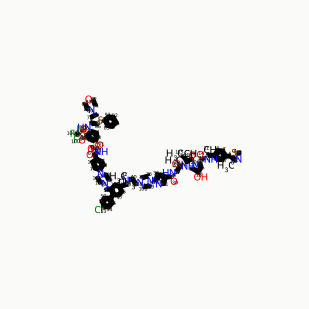 Cc1ncsc1-c1ccc([C@H](C)NC(=O)[C@@H]2C[C@@H](O)CN2C(=O)[C@@H](NC(=O)CNC(=O)c2ccc(N3CCN(CCN(C)CC4(C)CCC(c5ccc(Cl)cc5)=C(CN5CCN(c6ccc(C(=O)NS(=O)(=O)c7ccc(N[C@H](CCN8CCOCC8)CSc8ccccc8)c(S(=O)(=O)C(F)(F)F)c7)cc6)CC5)C4)CC3)nc2)C(C)(C)C)cc1